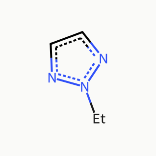 [CH2]Cn1nccn1